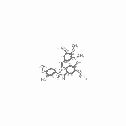 COc1ccc(S(=O)(=O)Nc2cc(OC)c(O)cc2/C=C\c2cc(OC)c(OC)c(OC)c2)cc1O